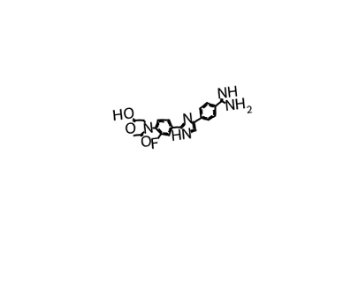 CC(=O)N(CC(=O)O)c1ccc(-c2nc(-c3ccc(C(=N)N)cc3)c[nH]2)cc1F